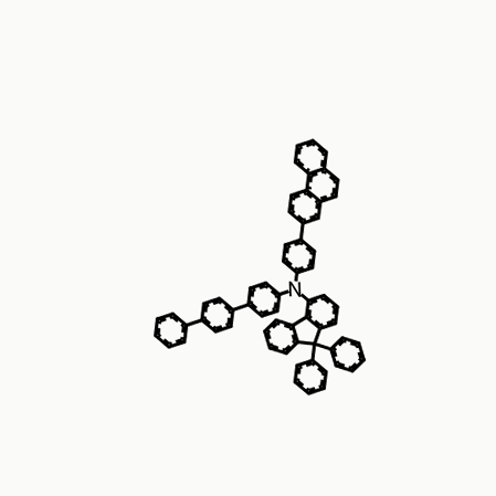 c1ccc(-c2ccc(-c3ccc(N(c4ccc(-c5ccc6c(ccc7ccccc76)c5)cc4)c4cccc5c4-c4ccccc4C5(c4ccccc4)c4ccccc4)cc3)cc2)cc1